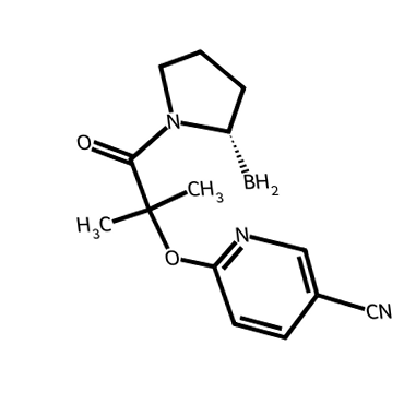 B[C@H]1CCCN1C(=O)C(C)(C)Oc1ccc(C#N)cn1